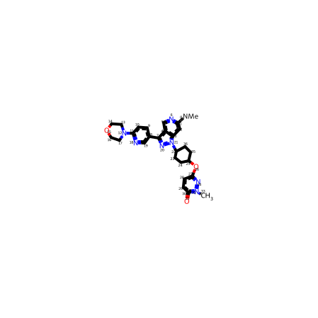 CNc1cc2c(cn1)c(-c1ccc(N3CCOCC3)nc1)nn2C1CCC(Oc2ccc(=O)n(C)n2)CC1